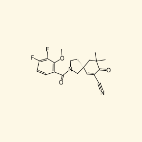 COc1c(C(=O)N2CC[C@]3(C=C(C#N)C(=O)C(C)(C)C3)C2)ccc(F)c1F